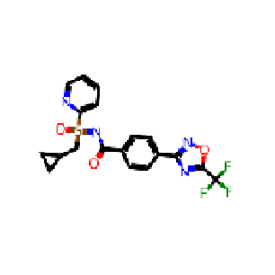 O=C(N=S(=O)(CC1CC1)c1ccccn1)c1ccc(-c2noc(C(F)(F)F)n2)cc1